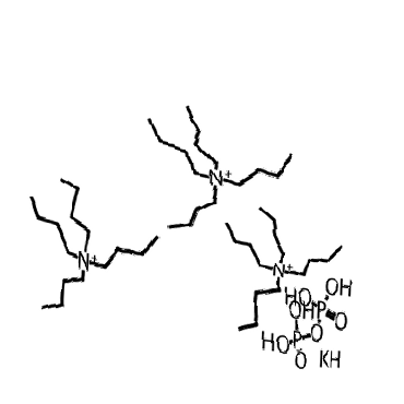 CCCC[N+](CCCC)(CCCC)CCCC.CCCC[N+](CCCC)(CCCC)CCCC.CCCC[N+](CCCC)(CCCC)CCCC.O=P(O)(O)OP(=O)(O)O.[KH]